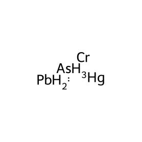 [AsH3].[Cr].[Hg].[PbH2]